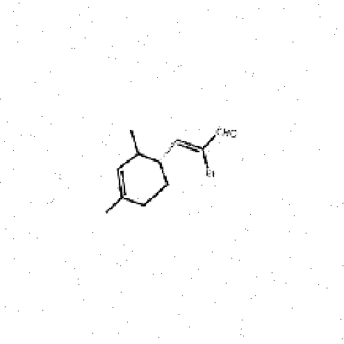 CC/C(C=O)=C\[C@@H]1CCC(C)=CC1C